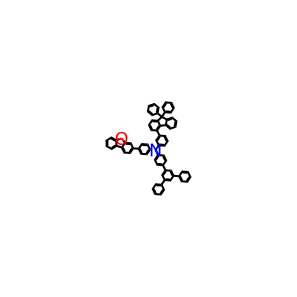 c1ccc(-c2cc(-c3ccccc3)cc(-c3ccc(N(c4ccc(-c5ccc6c(c5)oc5ccccc56)cc4)c4cccc(-c5cccc6c5-c5ccccc5C6(c5ccccc5)c5ccccc5)c4)cc3)c2)cc1